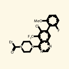 CCC(=O)N1CCN(c2ncnc3cc(-c4c(F)cccc4OC)c(Cl)c(C(F)(F)F)c23)CC1